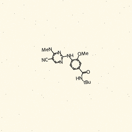 CNc1nc(Nc2ccc(C(=O)NC(C)(C)C)cc2OC)ncc1C#N